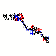 COC(=O)C(C(C)OC)N(C)C(=O)C1(NC(=O)/C=C/C=C/C=C/C=C\CNC(=O)C(C)(C)C(O)\C(C)=C/C=C\C=C\Cc2cnc(C)o2)COCO1